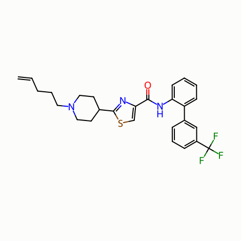 C=CCCCN1CCC(c2nc(C(=O)Nc3ccccc3-c3cccc(C(F)(F)F)c3)cs2)CC1